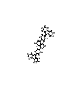 c1cc(-c2ccc(-n3c4ccccc4c4ccccc43)cc2)c2cccc(-c3ccc(-n4c5ccccc5c5ccccc54)cc3)c2c1